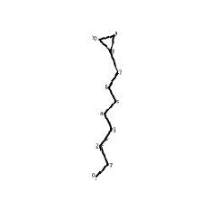 [CH2]CCCCCCCC1CC1